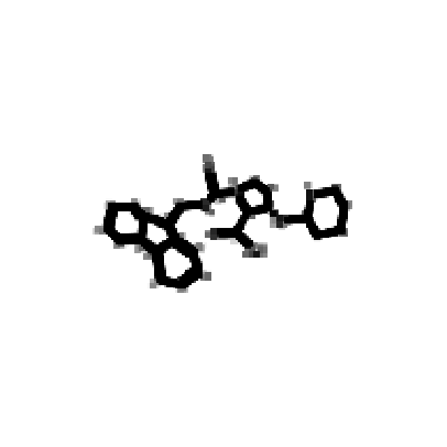 O=C(O)[C@@H]1[C@@H](OC2CCCCO2)CCN1C(=O)OCC1c2ccccc2-c2ccccc21